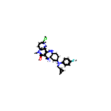 Cn1c(=O)c(C#N)c(NC2CCC(N(CC3CC3)c3ccc(F)cc3)CC2)c2nc(Cl)ccc21